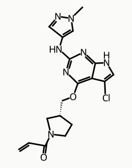 C=CC(=O)N1CC[C@@H](COc2nc(Nc3cnn(C)c3)nc3[nH]cc(Cl)c23)C1